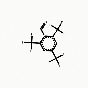 O=Cc1c(C(F)(F)F)cc(C(F)(F)F)cc1C(F)(F)F